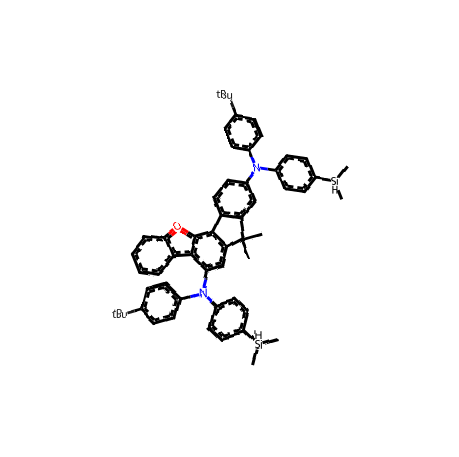 C[SiH](C)c1ccc(N(c2ccc(C(C)(C)C)cc2)c2ccc3c(c2)C(C)(C)c2cc(N(c4ccc([SiH](C)C)cc4)c4ccc(C(C)(C)C)cc4)c4c(oc5ccccc54)c2-3)cc1